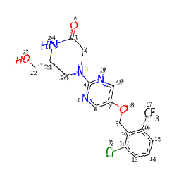 O=C1CN(c2ncc(OCc3c(Cl)cccc3C(F)(F)F)cn2)C[C@H](CO)N1